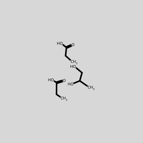 CC(O)CO.CCC(=O)O.CCC(=O)O